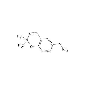 CC1(C)C=Cc2cc(CN)ccc2O1